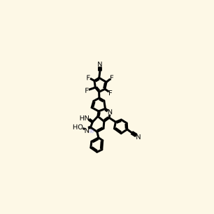 N#Cc1ccc(-c2nc3cc(-c4c(F)c(F)c(C#N)c(F)c4F)ccc3c3c2C=C(c2ccccc2)/C(=N/O)C3=N)cc1